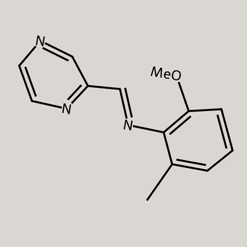 COc1cccc(C)c1N=Cc1cnccn1